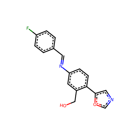 OCc1cc(/N=C/c2ccc(F)cc2)ccc1-c1cnco1